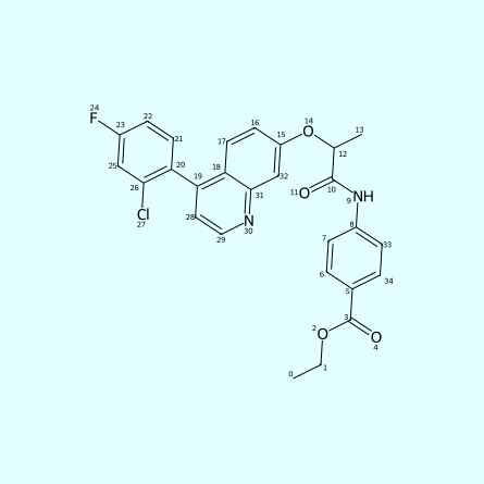 CCOC(=O)c1ccc(NC(=O)C(C)Oc2ccc3c(-c4ccc(F)cc4Cl)ccnc3c2)cc1